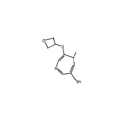 CC(C)C1=CC(C)C(OC2COC2)=CN=C1